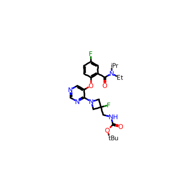 CCN(C(=O)c1cc(F)ccc1Oc1cncnc1N1CC(F)(CNC(=O)OC(C)(C)C)C1)C(C)C